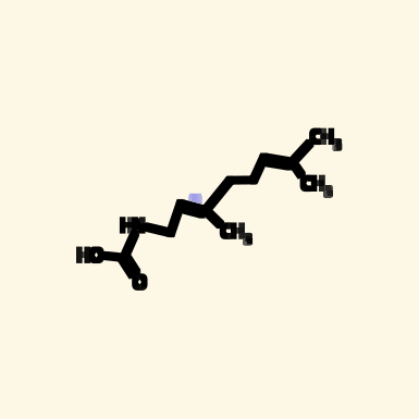 CC(C)=CCC/C(C)=C/CNC(=O)O